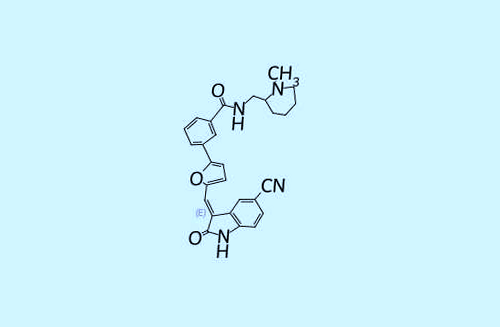 CN1CCCCC1CNC(=O)c1cccc(-c2ccc(/C=C3/C(=O)Nc4ccc(C#N)cc43)o2)c1